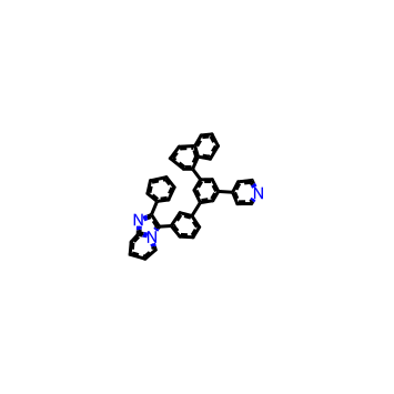 c1ccc(-c2nc3ccccn3c2-c2cccc(-c3cc(-c4ccncc4)cc(-c4cccc5ccccc45)c3)c2)cc1